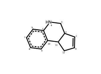 C1=CC2CNc3ccccc3C2C1